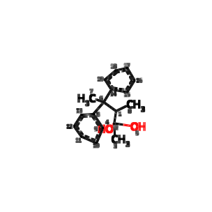 CC(C(C)(O)O)C(C)(c1ccccc1)c1ccccc1